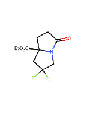 CCOC(=O)[C@@]12CCC(=O)N1CC(F)(F)C2